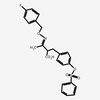 C/C(=N\OCc1ccc(F)cc1)C(Cc1ccc(OS(=O)(=O)c2ccccc2)cc1)C(=O)O